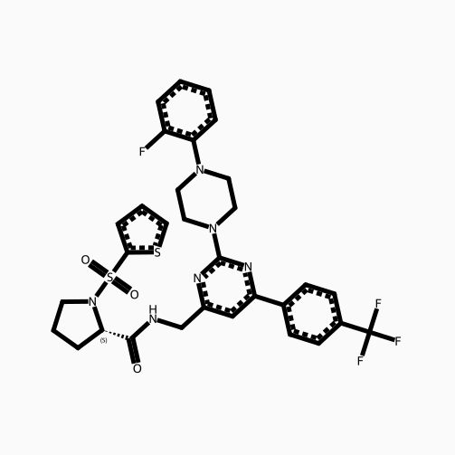 O=C(NCc1cc(-c2ccc(C(F)(F)F)cc2)nc(N2CCN(c3ccccc3F)CC2)n1)[C@@H]1CCCN1S(=O)(=O)c1cccs1